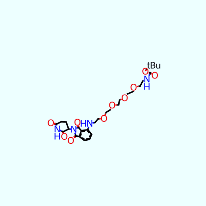 CC(C)(C)OC(=O)NCCOCCOCCOCCOCCNc1cccc2c1C(=O)N(C1CCC(=O)NC1=O)C2=O